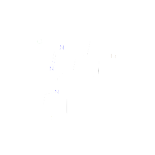 Cc1c(Br)ccc2c(N3CCSCC3)nc(Cl)nc12